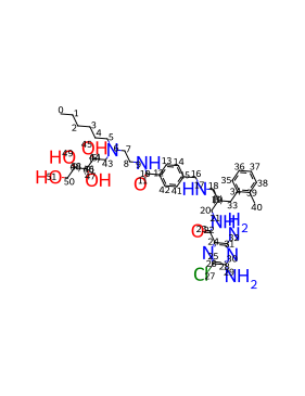 CCCCCCN(CCNC(=O)c1ccc(CNC[C@H](CNC(=O)c2nc(Cl)c(N)nc2N)Cc2ccccc2C)cc1)C[C@H](O)[C@@H](O)[C@H](O)CO